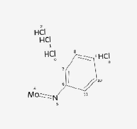 Cl.Cl.Cl.Cl.[Mo]=[N]c1ccccc1